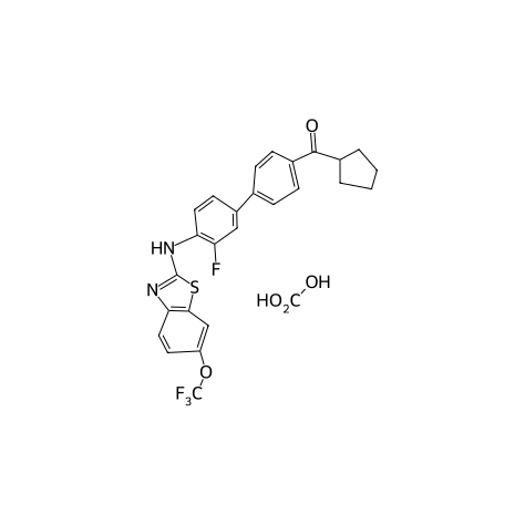 O=C(O)O.O=C(c1ccc(-c2ccc(Nc3nc4ccc(OC(F)(F)F)cc4s3)c(F)c2)cc1)C1CCCC1